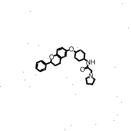 O=C(CN1CCCC1)NC1CCC(Oc2ccc3c(c2)CCC(c2ccccc2)O3)CC1